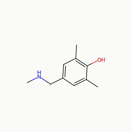 CN[CH]c1cc(C)c(O)c(C)c1